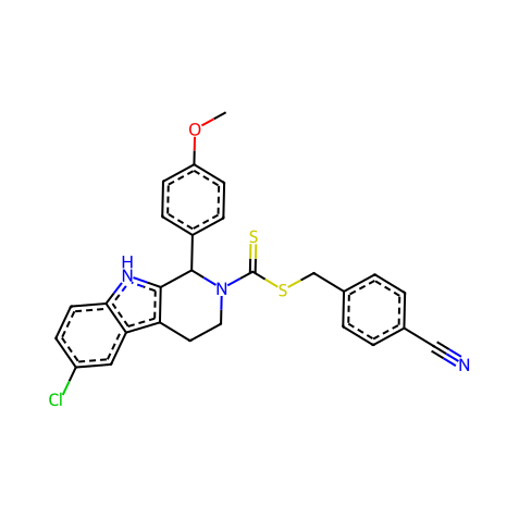 COc1ccc(C2c3[nH]c4ccc(Cl)cc4c3CCN2C(=S)SCc2ccc(C#N)cc2)cc1